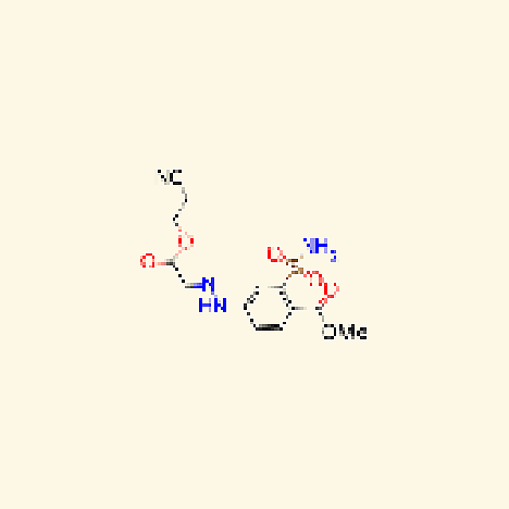 COC(=O)c1ccc(NN=CC(=O)OCCC#N)cc1S(N)(=O)=O